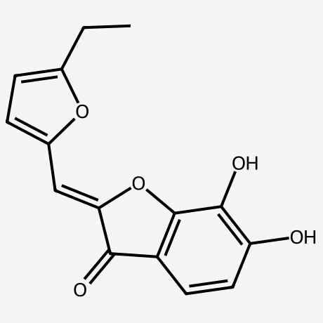 CCc1ccc(C=C2Oc3c(ccc(O)c3O)C2=O)o1